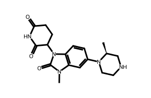 C[C@H]1CNCCN1c1ccc2c(c1)n(C)c(=O)n2C1CCC(=O)NC1=O